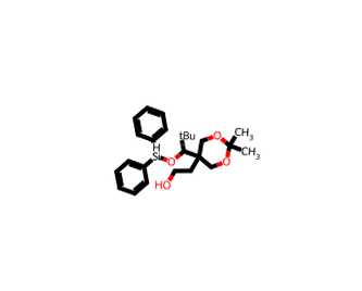 CC1(C)OCC(CCO)(C(O[SiH](c2ccccc2)c2ccccc2)C(C)(C)C)CO1